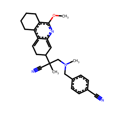 COc1nc2c(c3c1CCCC3)=CCC(C(C)(C#N)CN(C)Cc1ccc(C#N)cc1)C=2